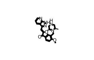 COc1ccc2c(c1CN1[C@H](C)CNC[C@@H]1C)OC(=Cc1n[nH]c3ncccc13)C2=O